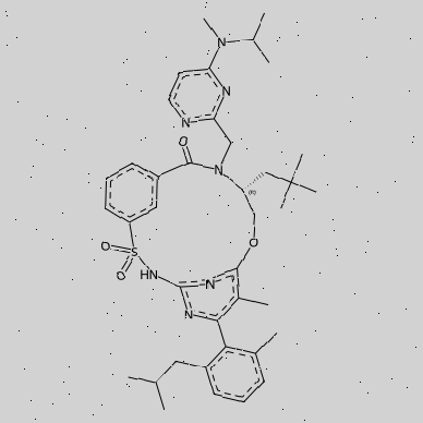 Cc1cccc(CC(C)C)c1-c1nc2nc(c1C)OC[C@@H](CC(C)(C)C)N(Cc1nccc(N(C)C(C)C)n1)C(=O)c1cccc(c1)S(=O)(=O)N2